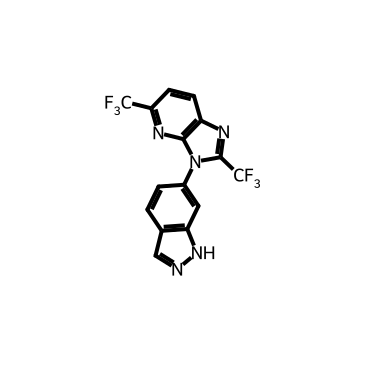 FC(F)(F)c1ccc2nc(C(F)(F)F)n(-c3ccc4cn[nH]c4c3)c2n1